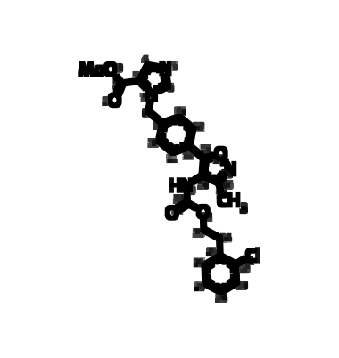 COC(=O)c1cncn1Cc1ccc(-c2onc(C)c2NC(=O)OCCc2ccccc2Cl)cc1